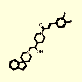 O=C(/C=C/c1ccc(F)c(F)c1)N1CCC(C(O)CN2CCC3(C=Cc4ccccc43)CC2)CC1